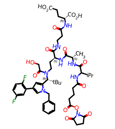 CC(C)C(NC(=O)CCCC(=O)ON1C(=O)CCC1=O)C(=O)N[C@@H](C)C(=O)N[C@@H](CCN(C(=O)CO)[C@@H](c1cc(-c2cc(F)ccc2F)cn1Cc1ccccc1)C(C)(C)C)C(=O)NCCC(=O)N[C@H](CCC(=O)O)C(=O)O